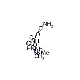 CN/C(C)=C\C(=N)NC(=O)c1ccccc1NC(=O)CCOCCOCCN